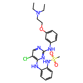 CCN(CC)CCOc1cccc(Nc2ncc(Cl)c(Nc3ccccc3NS(C)(=O)=O)n2)c1